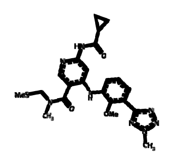 COc1c(Nc2cc(NC(=O)C3CC3)ncc2C(=O)N(C)CSC)cccc1-c1nnn(C)n1